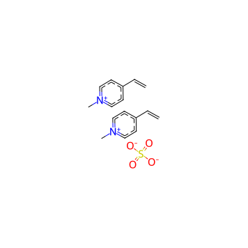 C=Cc1cc[n+](C)cc1.C=Cc1cc[n+](C)cc1.O=S(=O)([O-])[O-]